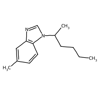 CCCCC(C)n1cnc2cc(C)ccc21